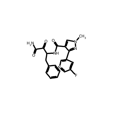 Cn1cc(C(=O)NC(Cc2ccccc2)C(=O)C(N)=O)c(-c2cncc(F)c2)n1